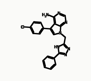 Nc1ncnc2c1c(-c1ccc(Cl)cc1)cn2Cc1nnc(-c2ccccc2)[nH]1